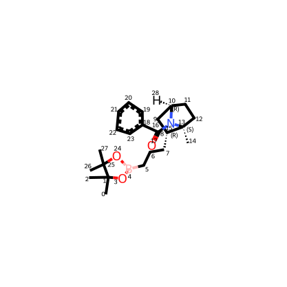 CC1(C)OB(CCC[C@@H]2C[C@H]3CC[C@]2(C)N3C(=O)c2ccccc2)OC1(C)C